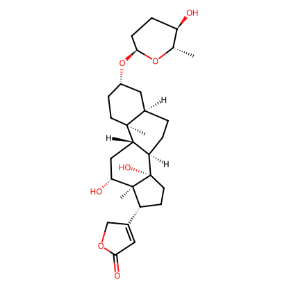 C[C@@H]1O[C@@H](O[C@H]2CC[C@@]3(C)[C@H](CC[C@@H]4[C@@H]3C[C@@H](O)[C@]3(C)[C@@H](C5=CC(=O)OC5)CC[C@]43O)C2)CC[C@H]1O